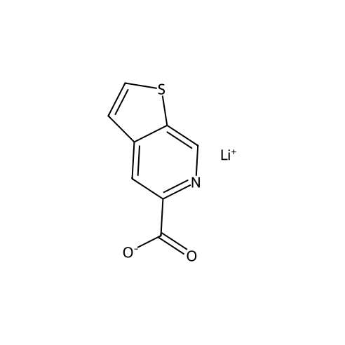 O=C([O-])c1cc2ccsc2cn1.[Li+]